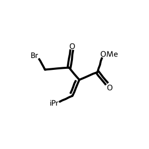 COC(=O)C(=CC(C)C)C(=O)CBr